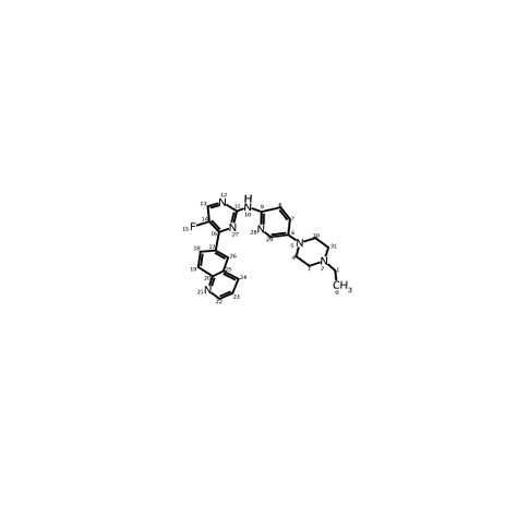 CCN1CCN(c2ccc(Nc3ncc(F)c(-c4ccc5ncccc5c4)n3)nc2)CC1